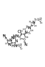 N#Cc1cc(Nc2nc(NC3CC3)c3ncc(C#N)n3n2)c(Cl)c(N2CCN(C3CN(CC4CC4)C3)CC2)c1